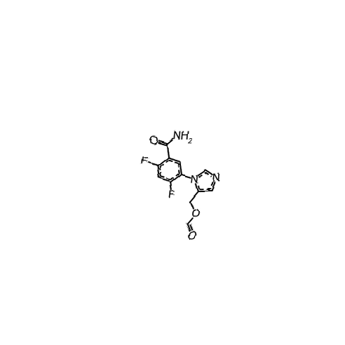 NC(=O)c1cc(-n2cncc2COC=O)c(F)cc1F